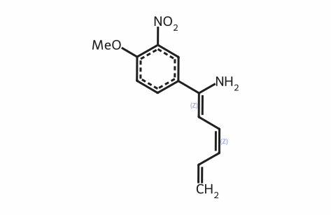 C=C/C=C\C=C(/N)c1ccc(OC)c([N+](=O)[O-])c1